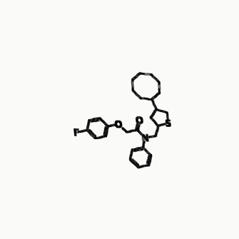 O=C(COc1ccc(F)cc1)N(CC1CC(C2CCCCCCC2)CS1)c1ccccc1